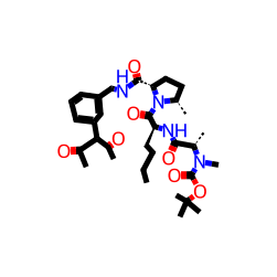 CCCC[C@H](NC(=O)[C@H](C)N(C)C(=O)OC(C)(C)C)C(=O)N1[C@@H](C)CC[C@H]1C(=O)NCc1cccc(C(C(C)=O)C(C)=O)c1